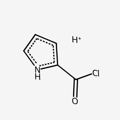 O=C(Cl)c1ccc[nH]1.[H+]